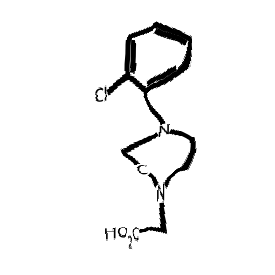 O=C(O)CN1CCN(c2ccccc2Cl)CC1